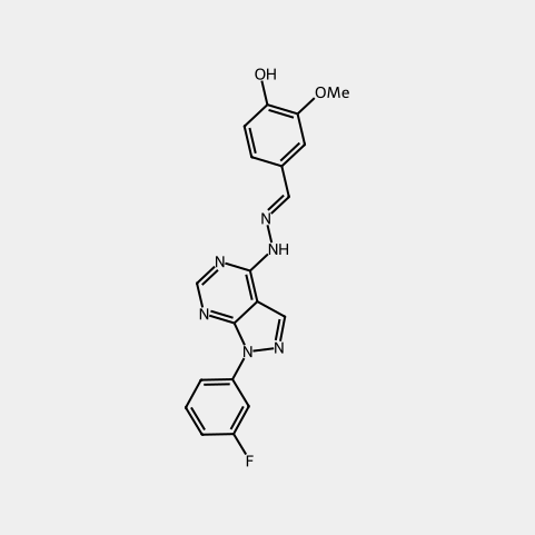 COc1cc(/C=N/Nc2ncnc3c2cnn3-c2cccc(F)c2)ccc1O